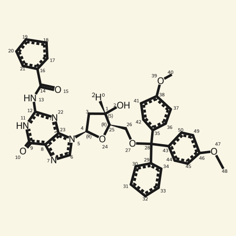 [2H][C@]1(O)C[C@H](n2cnc3c(=O)[nH]c(NC(=O)c4ccccc4)nc32)O[C@@H]1COC(c1ccccc1)(c1ccc(OC)cc1)c1ccc(OC)cc1